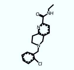 CCNC(=O)c1ccc2c(n1)CCN(Cc1ccccc1Cl)C2